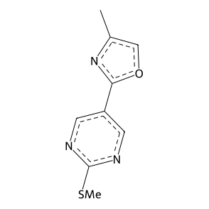 CSc1ncc(-c2nc(C)co2)cn1